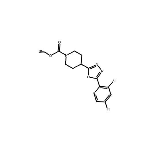 CC(C)(C)OC(=O)N1CCC(c2nnc(-c3ncc(Cl)cc3Cl)o2)CC1